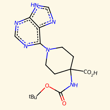 CC(C)(C)OC(=O)NC1(C(=O)O)CCN(c2ncnc3[nH]cnc23)CC1